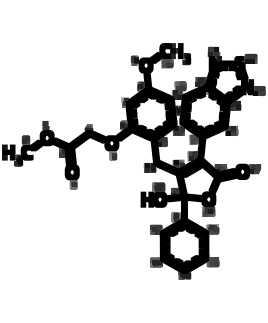 COC(=O)COc1cc(OC)ccc1CC1=C(c2ccc3nsnc3c2)C(=O)OC1(O)c1ccccc1